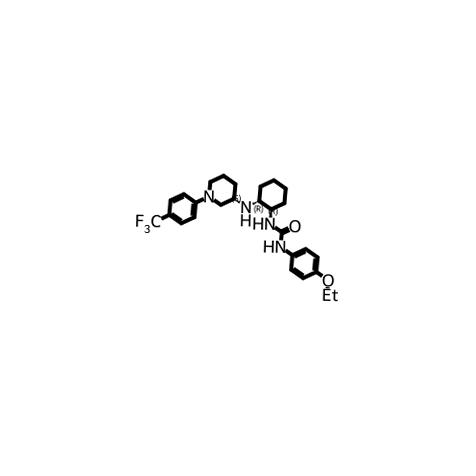 CCOc1ccc(NC(=O)N[C@@H]2CCCC[C@H]2N[C@H]2CCCN(c3ccc(C(F)(F)F)cc3)C2)cc1